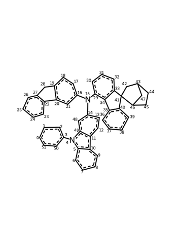 c1ccc(-n2c3ccccc3c3ccc(N(c4ccc5c(c4)-c4ccccc4C5)c4cccc5c4-c4ccccc4C54CC5CCC4C5)cc32)cc1